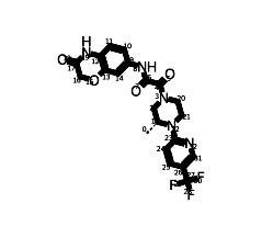 C[C@@H]1CN(C(=O)C(=O)Nc2ccc3c(c2)OCC(=O)N3)CCN1c1ccc(C(F)(F)F)cn1